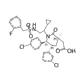 C[C@]1(CC(=O)O)C[C@H](c2cccc(Cl)c2)[C@@H](c2ccc(Cl)cc2)N(C(CNS(=O)(=O)Cc2ccccc2F)C2CC2)C1=O